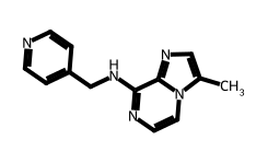 Cc1cnc2c(NCc3ccncc3)nccn12